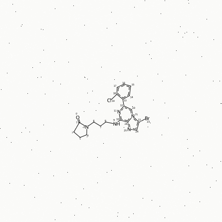 O=C1CCCN1CCCNc1nc(-c2ccccc2Cl)cn2c(Br)cnc12